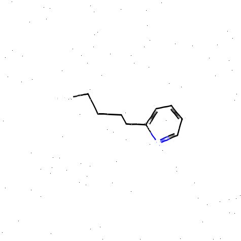 CCCCCCCCCCc1cc[c]cn1